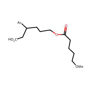 COCCCCC(=O)OCCCC(CC(=O)O)C(C)=O